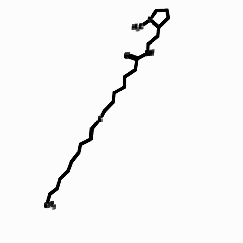 CCCCCCCCC=CCCCCCCCC(=O)NCCC1CCCN1C